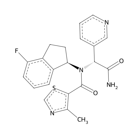 Cc1ncsc1C(=O)N([C@@H]1CCc2c(F)cccc21)[C@@H](C(N)=O)c1cccnc1